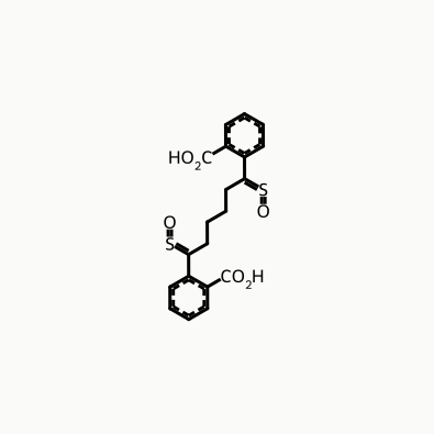 O=S=C(CCCCC(=S=O)c1ccccc1C(=O)O)c1ccccc1C(=O)O